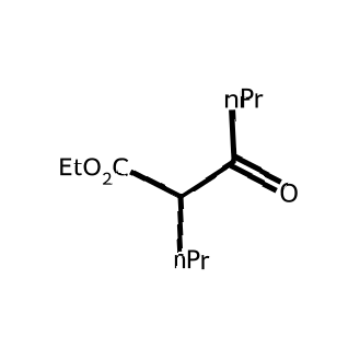 CCCC(=O)C(CCC)C(=O)OCC